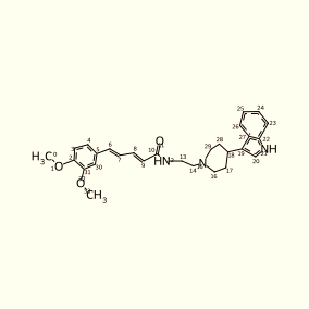 COc1ccc(C=CC=CC(=O)NCCN2CCC(c3c[nH]c4ccccc34)CC2)cc1OC